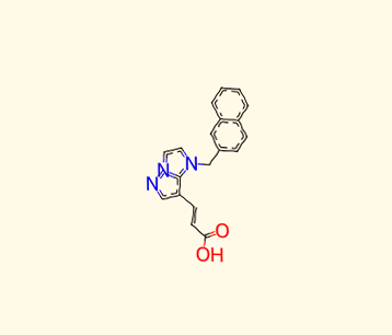 O=C(O)C=Cc1cnn2ccn(Cc3ccc4ccccc4c3)c12